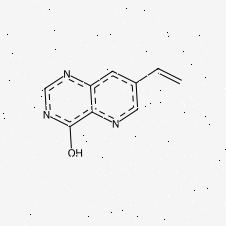 C=Cc1cnc2c(O)ncnc2c1